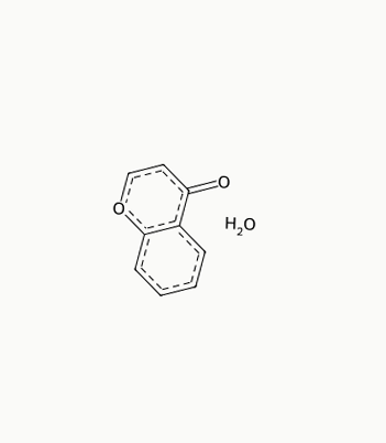 O.O=c1ccoc2ccccc12